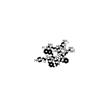 Cc1ccc(C[C@H](NC(=O)CN2CCNCC2)C(=O)N[C@@H](Cc2ccc3ccccc3c2)C(=O)N[C@@H](CC(C)C)C(=O)N[C@@H](Cc2ccccc2)C(=O)N[C@@H](CCCNC(=N)N)C(=O)N[C@@H](C)C(=O)N[C@@H](CCCNC(=N)N)C(=O)N[C@@H](CC(N)=O)C(N)=O)cc1